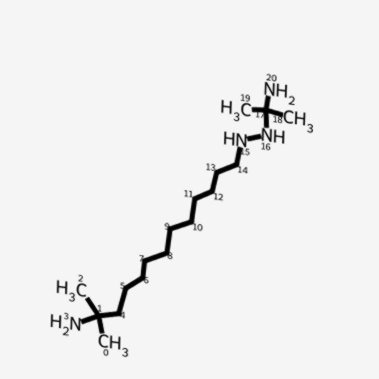 CC(C)(N)CCCCCCCCCCCNNC(C)(C)N